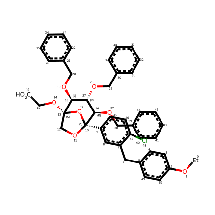 CCOc1ccc(Cc2cc([C@]34OC[C@](OCC(=O)O)(O3)[C@@H](OCc3ccccc3)[C@H](OCc3ccccc3)[C@H]4OCc3ccccc3)ccc2Cl)cc1